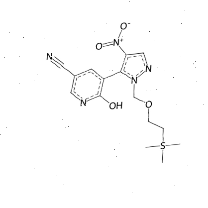 CS(C)(C)CCOCn1ncc([N+](=O)[O-])c1-c1cc(C#N)cnc1O